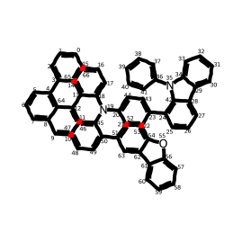 c1ccc(-c2cccc3cccc(-c4ccccc4N(c4ccc(-c5cccc6c7ccccc7n(-c7ccccc7)c56)cc4)c4ccccc4-c4ccc5oc6ccccc6c5c4)c23)cc1